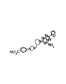 Nc1nc(N2CCCC(CN3CCN(c4ccc(C(=O)O)cc4)CC3)C2)nc2nc(-c3ccco3)nn12